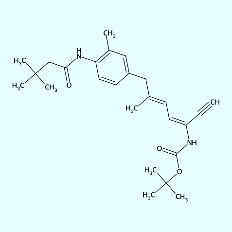 C#C/C(=C\C=C(/C)Cc1ccc(NC(=O)CC(C)(C)C)c(C)c1)NC(=O)OC(C)(C)C